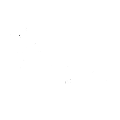 COc1c(C=CC(=O)Nc2ccc(Cl)cc2)cccc1OC(=O)N(C)C